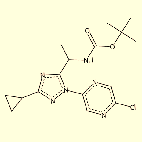 CC(NC(=O)OC(C)(C)C)c1nc(C2CC2)nn1-c1cnc(Cl)cn1